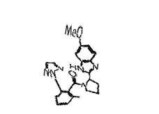 COc1ccc2nc(C3CCCN3C(=O)c3c(C)cccc3-n3nccn3)[nH]c2c1